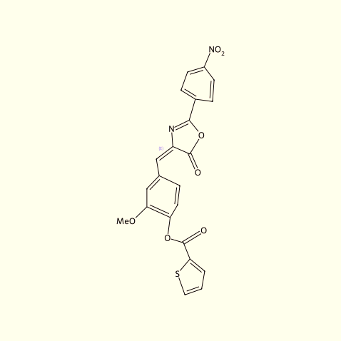 COc1cc(/C=C2/N=C(c3ccc([N+](=O)[O-])cc3)OC2=O)ccc1OC(=O)c1cccs1